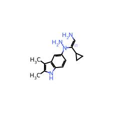 Cc1[nH]c2ccc(N(N)/C(=C\N)C3CC3)cc2c1C